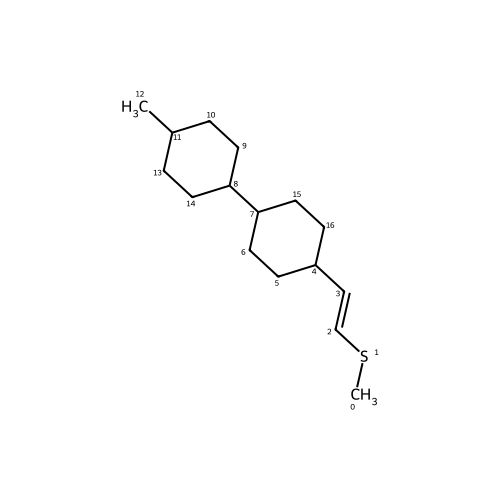 CSC=CC1CCC(C2CCC(C)CC2)CC1